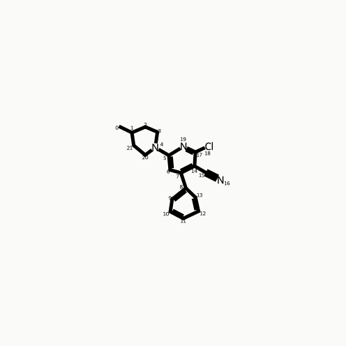 CC1CCN(c2cc(-c3ccccc3)c(C#N)c(Cl)n2)CC1